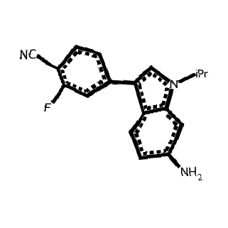 CC(C)n1cc(-c2ccc(C#N)c(F)c2)c2ccc(N)cc21